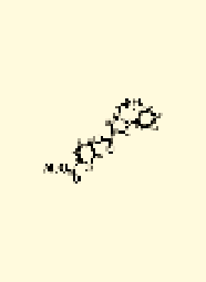 COC(=O)c1ccc(OC(=O)N2CC(CN)C(c3ccccc3)C2)cc1